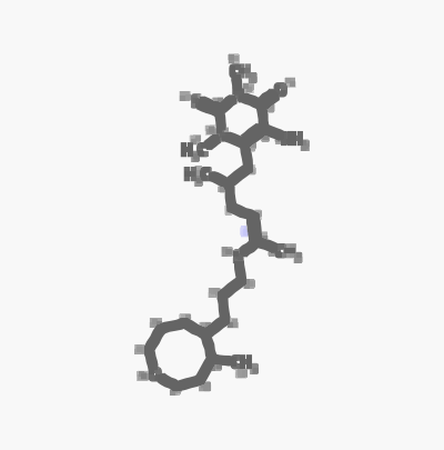 C/C(=C/CC(C)Cc1c(N)c(=O)n(C)c(=S)n1C)SCCCC1CCCOCCC1C